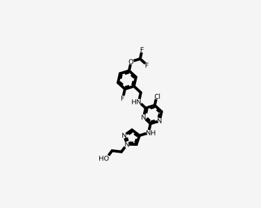 OCCn1cc(Nc2ncc(Cl)c(NCc3cc(OC(F)F)ccc3F)n2)cn1